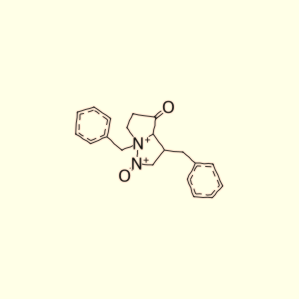 O=C1CC[N+]2(Cc3ccccc3)C1C(Cc1ccccc1)C[N+]2=O